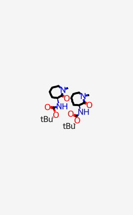 CN1CCCC[C@H](NC(=O)OC(C)(C)C)C1=O.CN1CCCC[C@H](NC(=O)OC(C)(C)C)C1=O